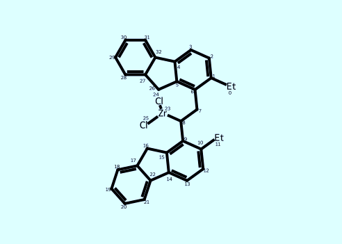 CCc1ccc2c(c1C[CH](c1c(CC)ccc3c1Cc1ccccc1-3)[Zr]([Cl])[Cl])Cc1ccccc1-2